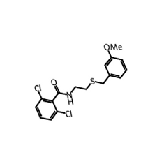 COc1cccc(CSCCNC(=O)c2c(Cl)cccc2Cl)c1